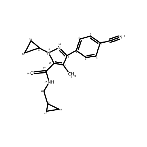 Cc1c(-c2ccc(C#N)cc2)nn(C2CC2)c1C(=O)NCC1CC1